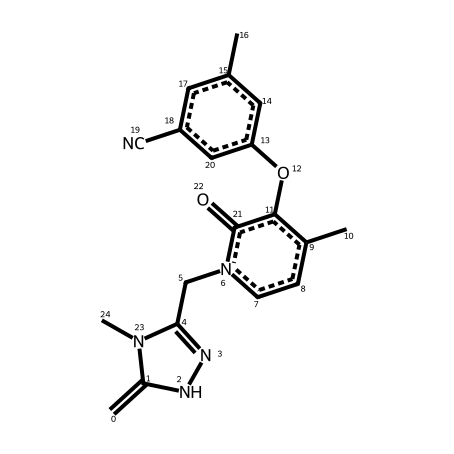 C=C1NN=C(Cn2ccc(C)c(Oc3cc(C)cc(C#N)c3)c2=O)N1C